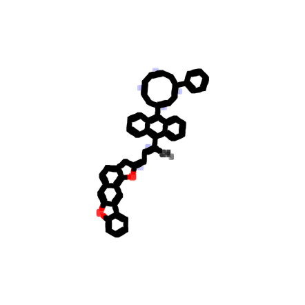 C/C(=C\C=C1/Cc2ccc3cc4oc5ccccc5c4cc3c2O1)c1c2ccccc2c(/C2=C/C=C(/c3ccccc3)C/C=C\C=C/C2)c2ccccc12